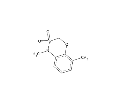 Cc1cccc2c1OCS(=O)(=O)N2C